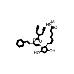 C#CCC(CC#C)C(=O)O[C@H](/C=C/[C@@H]1[C@@H](C/C=C\CCCC(=O)NCC)[C@@H](O)C[C@H]1O)CCc1ccccc1